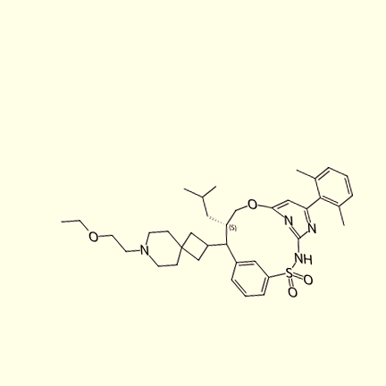 CCOCCN1CCC2(CC1)CC(C1c3cccc(c3)S(=O)(=O)Nc3nc(cc(-c4c(C)cccc4C)n3)OC[C@H]1CC(C)C)C2